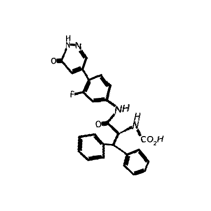 O=C(O)N[C@H](C(=O)Nc1ccc(-c2cn[nH]c(=O)c2)c(F)c1)C(c1ccccc1)c1ccccc1